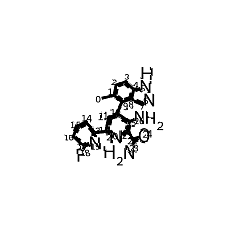 Cc1ccc2[nH]ncc2c1-c1cc(-c2cccc(F)n2)nc(C(N)=O)c1N